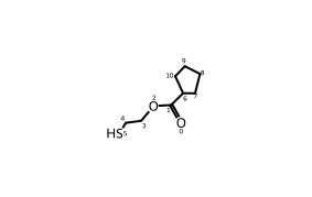 O=C(OCCS)C1CCCC1